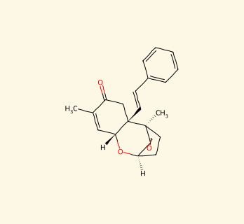 CC1=C[C@H]2O[C@@H]3CC[C@](C)([C@@]2(C=Cc2ccccc2)CC1=O)[C@]31CO1